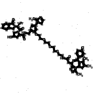 CC1=C(C)C2=C(C1)n1c(C)nnc1C(CC(=O)NCCOCCOCCOCCOc1cc(C3=C(C)N=CC3)ccc1CNC(=O)C1CC(O)CN1C(=O)[C@H](C(C)C)N1Cc3ccccc3C1=O)N=C2c1ccc(Cl)cc1